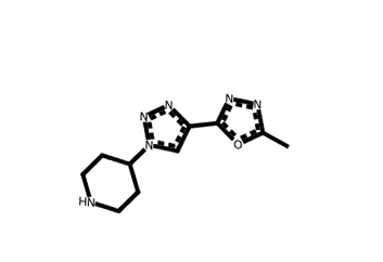 Cc1nnc(-c2cn(C3CCNCC3)nn2)o1